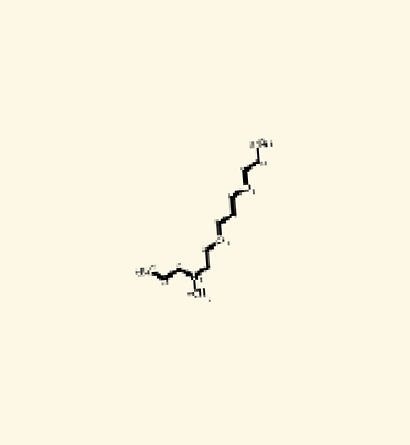 CN(CCOCCCOCCC(C)(C)C)CCC(C)(C)C